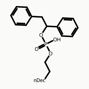 CCCCCCCCCCCCOP(=O)(O)OC(Cc1ccccc1)c1ccccc1